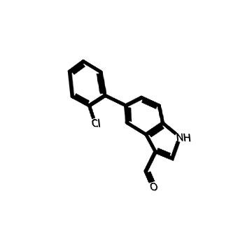 O=Cc1c[nH]c2ccc(-c3ccccc3Cl)cc12